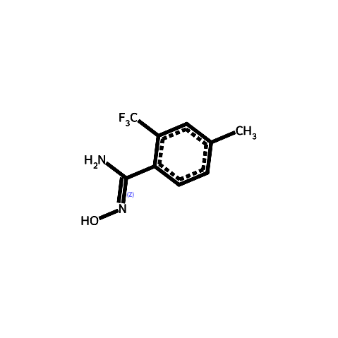 Cc1ccc(/C(N)=N/O)c(C(F)(F)F)c1